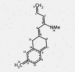 C=C/C=C(\C=C1/CC=c2ccc(=C)cc2C1)NC